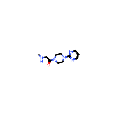 CNCC(=O)N1CCN(c2ncccn2)CC1